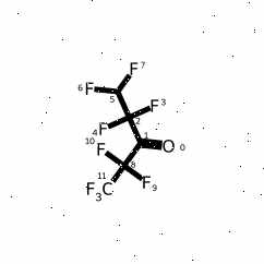 O=C(C(F)(F)C(F)F)C(F)(F)C(F)(F)F